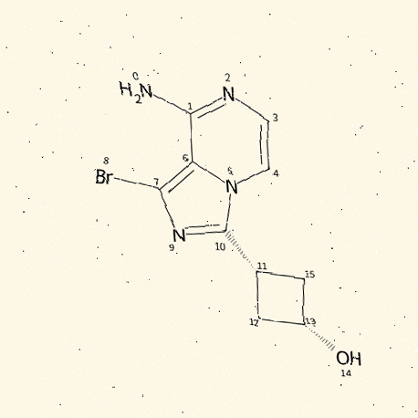 Nc1nccn2c1c(Br)nc2[C@H]1C[C@@H](O)C1